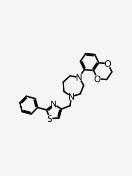 c1ccc(-c2nc(CN3CCCN(c4cccc5c4OCCO5)CC3)cs2)cc1